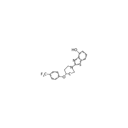 Oc1cccc2sc(N3CCC(Oc4ccc(C(F)(F)F)cc4)CC3)nc12